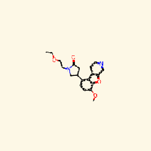 CCOCCN1CC(c2ccc(OC)c3oc4cnccc4c23)CC1=O